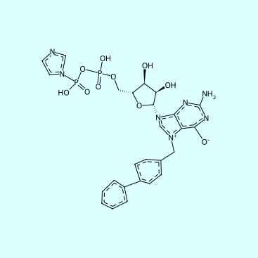 Nc1nc([O-])c2c(n1)n([C@@H]1O[C@H](COP(=O)(O)OP(=O)(O)n3ccnc3)[C@@H](O)[C@H]1O)c[n+]2Cc1ccc(-c2ccccc2)cc1